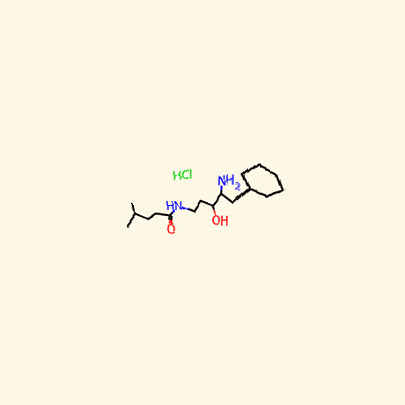 CC(C)CCC(=O)NCCC(O)C(N)CC1CCCCC1.Cl